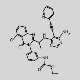 CCNC(=O)Nc1cccc(-n2c(C(C)Nc3ncnc(N)c3C#Cc3ccccn3)nc3cccc(Cl)c3c2=O)c1